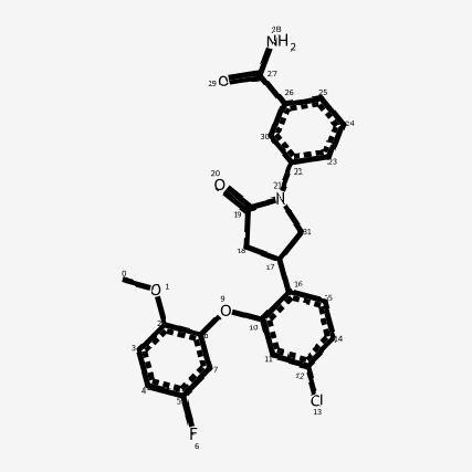 COc1ccc(F)cc1Oc1cc(Cl)ccc1C1CC(=O)N(c2cccc(C(N)=O)c2)C1